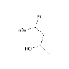 [CH2]C(O)CC(CC)CCCC